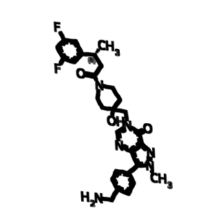 C[C@H](CC(=O)N1CCC(O)(Cn2cnc3c(-c4ccc(CN)cc4)n(C)nc3c2=O)CC1)c1cc(F)cc(F)c1